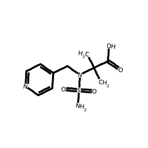 CC(C)(C(=O)O)N(Cc1ccncc1)S(N)(=O)=O